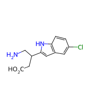 NCC(CC(=O)O)c1cc2cc(Cl)ccc2[nH]1